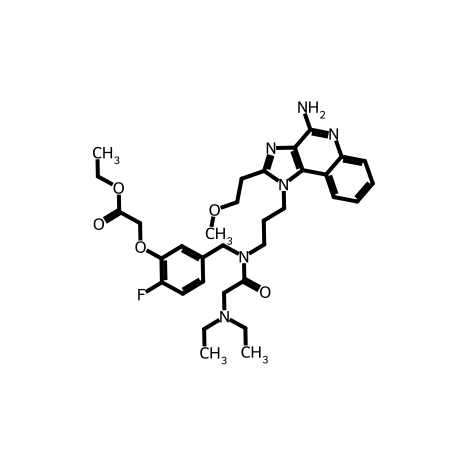 CCOC(=O)COc1cc(CN(CCCn2c(CCOC)nc3c(N)nc4ccccc4c32)C(=O)CN(CC)CC)ccc1F